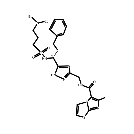 CCN(CC)CCCS(=O)(=O)N[C@H](CCc1ccccc1)c1nc(CNC(=O)c2c(C)nc3sccn23)n[nH]1